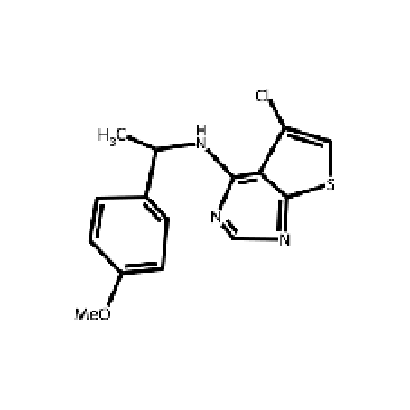 COc1ccc(C(C)Nc2ncnc3scc(Cl)c23)cc1